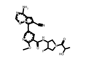 COc1ncc(-c2c(C#N)cc3c(N)ncnn23)cc1C(=O)NC1CN(C(=O)C(C)O)CC1F